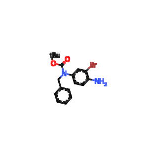 CC(C)(C)OC(=O)N(Cc1ccccc1)c1ccc(N)c(Br)c1